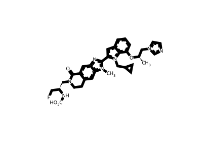 C[C@@H](Cn1ccnc1)Oc1cccc2cc(-c3nc4cc5c(cc4n3C)CCN(C[C@@H](CF)NC(=O)O)C5=O)n(CC3CC3)c12